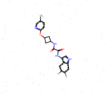 O=C(Nc1c[nH]c2cc(F)c(F)cc12)C(=O)NC1CC(Oc2ccc(C(F)(F)F)cn2)C1